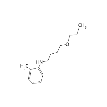 CCCOCCCCNc1ccccc1C